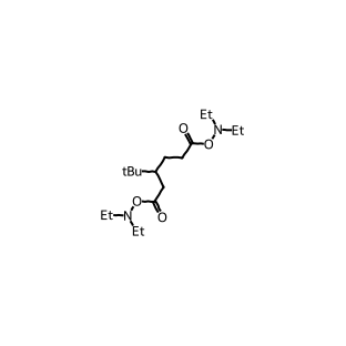 CCN(CC)OC(=O)CCC(CC(=O)ON(CC)CC)C(C)(C)C